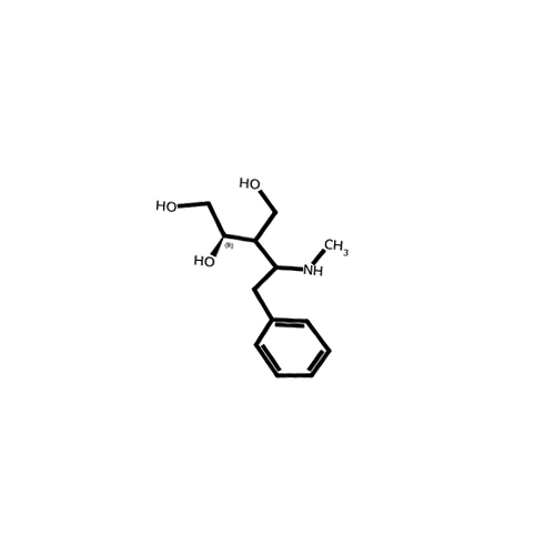 CNC(Cc1ccccc1)C(CO)[C@@H](O)CO